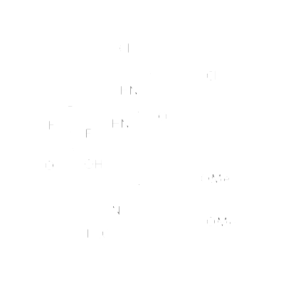 COc1ccc(C23CCC(NC(=O)Nc4cc(Cl)ccc4Cl)CC2CN(C)C3)cc1OC.O=C(O)C(F)(F)F